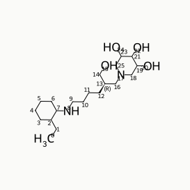 CCC1CCCCC1NCCCC[C@@H](CO)CN1CC(O)C(O)C(O)C1